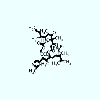 C=CCC(C)[C@H](OC(=O)OCC(Cl)(Cl)Cl)[C@@H](C)C(=O)C(C)(C)[C@H](CC(=O)O[C@@H](C/C=C(/C)C(=C)C)/C(C)=C/c1csc(C)n1)O[Si](CC)(CC)CC